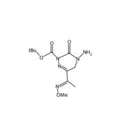 CO/N=C(\C)C1=NN(C(=O)OC(C)(C)C)C(=O)N(N)C1